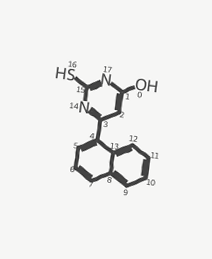 Oc1cc(-c2cccc3ccccc23)nc(S)n1